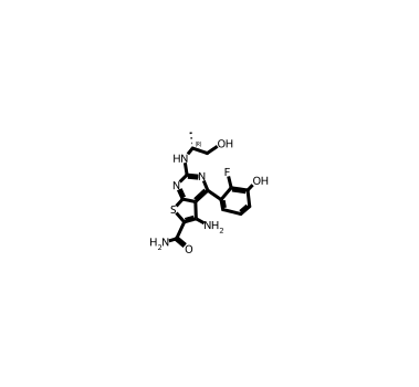 C[C@H](CO)Nc1nc(-c2cccc(O)c2F)c2c(N)c(C(N)=O)sc2n1